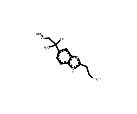 CCOC(=O)CCc1nc2cc(C(C)(C)CNC=O)ccc2[nH]1